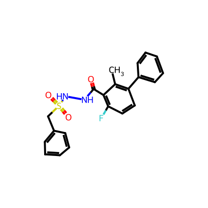 Cc1c(-c2ccccc2)ccc(F)c1C(=O)NNS(=O)(=O)Cc1ccccc1